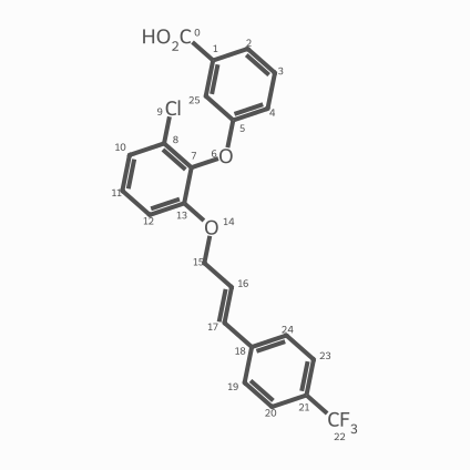 O=C(O)c1cccc(Oc2c(Cl)cccc2OC/C=C/c2ccc(C(F)(F)F)cc2)c1